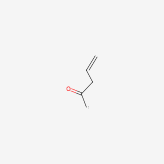 [CH]C(=O)CC=C